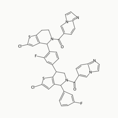 O=C(c1ccc2nccn2c1)N1CC(c2ccc(C3c4cc(Cl)sc4CCN3C(=O)c3ccc4nccn4c3)c(F)c2)c2sc(Cl)cc2C1c1cccc(F)c1